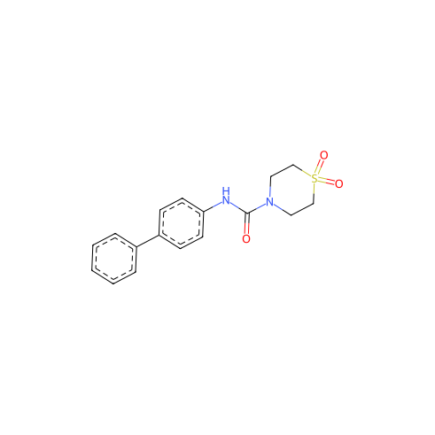 O=C(Nc1ccc(-c2ccccc2)cc1)N1CCS(=O)(=O)CC1